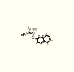 CCCCCCC(CCC)=NOc1ccc2ccccc2c1